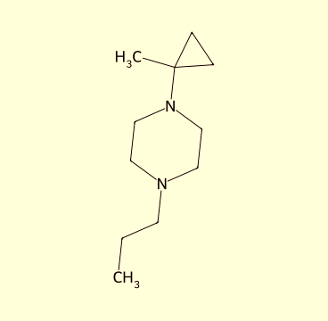 CCCN1CCN(C2(C)CC2)CC1